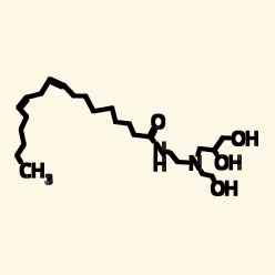 CCCCC/C=C\C/C=C\CCCCCCCC(=O)NCCN(CCO)CC(O)CO